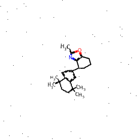 Cc1nc2c(o1)CCCC2c1ccc2c(c1)C(C)(C)CCC2(C)C